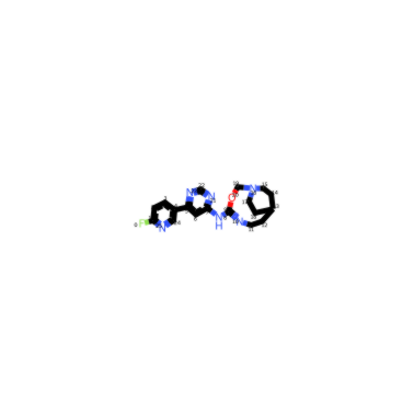 Fc1ccc(-c2cc(N/C3=N/CCC4CCN(CC4)CO3)ncn2)cn1